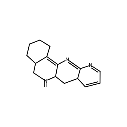 C1=CC2CC3NCC4CCCCC4=C3N=C2N=C1